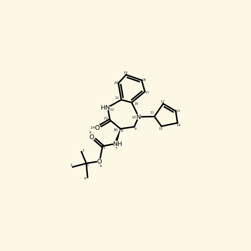 CC(C)(C)OC(=O)N[C@@H]1CN(C2C=CCC2)c2ccccc2NC1=O